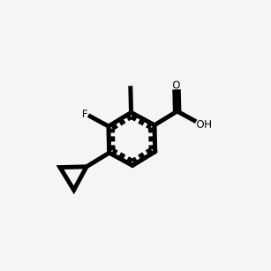 Cc1c(C(=O)O)ccc(C2CC2)c1F